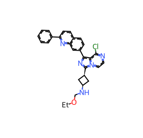 CCOCN[C@H]1C[C@@H](c2nc(-c3ccc4ccc(-c5ccccc5)nc4c3)c3c(Cl)nccn32)C1